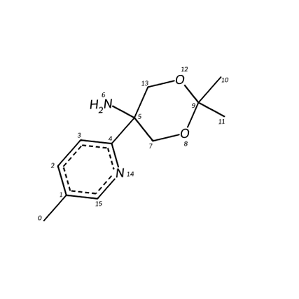 Cc1ccc(C2(N)COC(C)(C)OC2)nc1